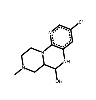 OC1Nc2cc(Cl)cnc2N2CCN(I)CC12